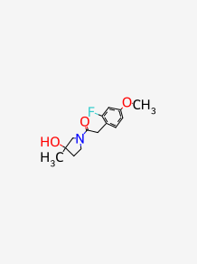 COc1ccc(CC(=O)N2CCC(C)(O)C2)c(F)c1